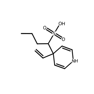 C=CC1(C(CCC)S(=O)(=O)O)C=CNC=C1